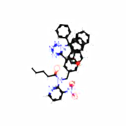 CCCCC(=O)N(Cc1ccc(-c2ccccc2)c(-c2nnnn2C(c2ccccc2)(c2ccccc2)c2ccccc2)c1)c1ncccc1[N+](=O)[O-]